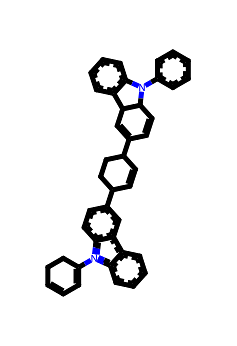 C1=CCCC(n2c3ccccc3c3cc(C4C=CC(C5=CC6c7ccccc7N(c7ccccc7)C6C=C5)CC4)ccc32)=C1